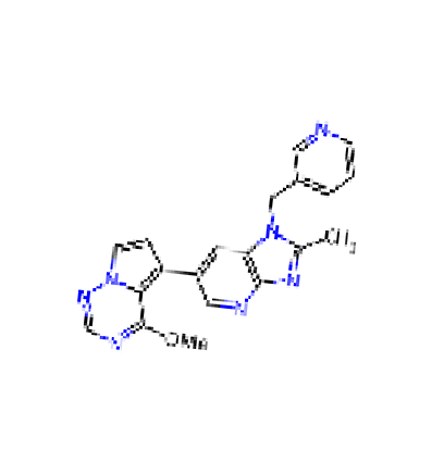 COc1ncnn2ccc(-c3cnc4nc(C)n(Cc5cccnc5)c4c3)c12